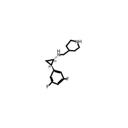 Fc1cc(F)cc([C@H]2C[C@@H]2NCC2CCNCC2)c1